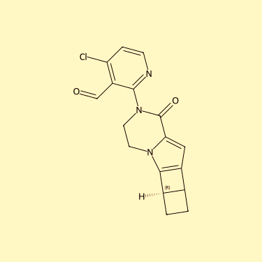 O=Cc1c(Cl)ccnc1N1CCn2c(cc3c2[C@@H]2CCC32)C1=O